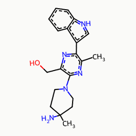 Cc1nc(N2CCC(C)(N)CC2)c(CO)nc1-c1c[nH]c2ccccc12